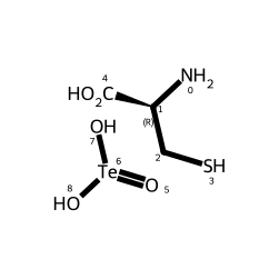 N[C@@H](CS)C(=O)O.O=[Te](O)O